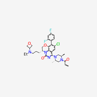 C=CC(=O)N1C[C@H](C)N(c2nc(=O)n3c4c(c(-c5ccc(F)cc5F)c(Cl)cc24)OC[C@H]3CCCN(CC)C2COC2)C[C@H]1C